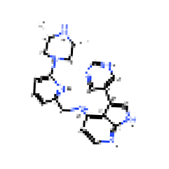 C[C@@H]1CN(c2cccc(CNc3ccnc4[nH]cc(-c5cncnc5)c34)n2)C[C@H](C)N1